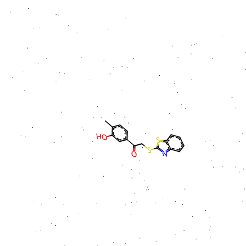 Cc1ccc(C(=O)CSc2nc3ccccc3s2)cc1O